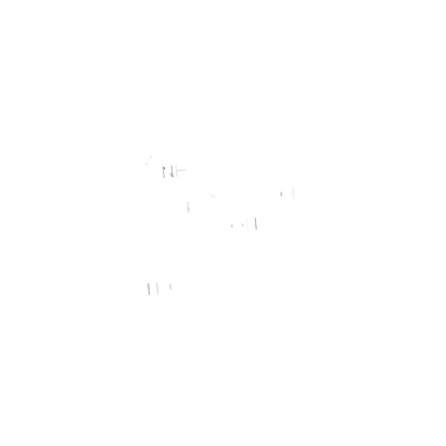 CCCCc1cc(CNC)cc(CCCC)c1O